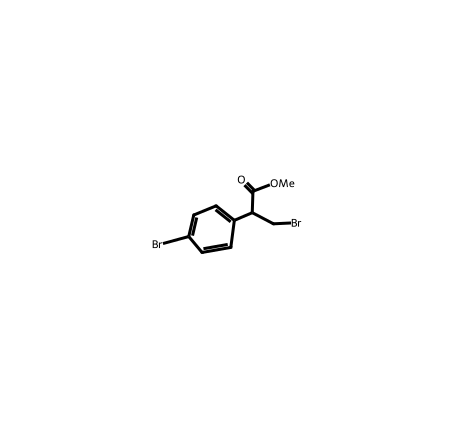 COC(=O)C(CBr)c1ccc(Br)cc1